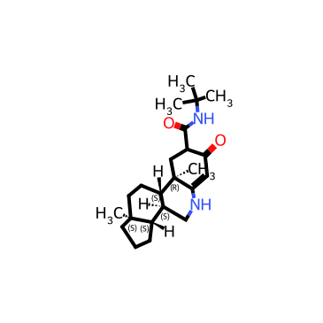 CC(C)(C)NC(=O)C1C[C@@]2(C)C(=CC1=O)NC[C@H]1[C@@H]3CCC[C@@]3(C)CC[C@@H]12